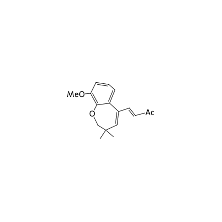 COc1cccc2c1OCC(C)(C)C=C2C=CC(C)=O